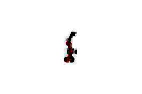 CC(NC(=O)OCC1c2ccccc2-c2ccccc21)C(=O)OCc1ccc(OCCCC[N+](C)(C)C)cc1